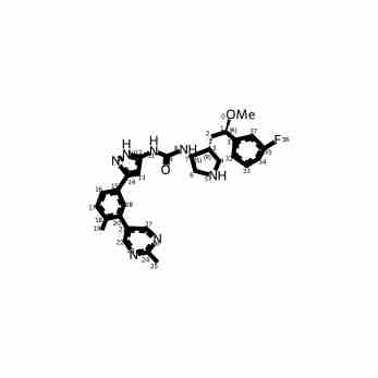 CO[C@H](C[C@@H]1CNC[C@H]1NC(=O)Nc1cc(-c2ccc(C)c(-c3cnc(C)nc3)c2)n[nH]1)c1cccc(F)c1